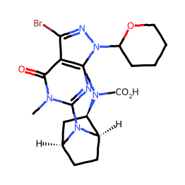 CN(C(=O)O)[C@@H]1C[C@@H]2CC[C@H]1N2c1nc2c(c(Br)nn2C2CCCCO2)c(=O)n1C